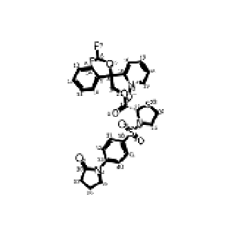 O=C(OCC(OC(F)F)(c1ccccc1)c1cccc[n+]1[O-])[C@@H]1SCCN1S(=O)(=O)c1ccc(N2CCCC2=O)cc1